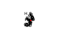 COC(=O)c1ccc2occ(-c3nn(CC(F)(F)F)c4cc(C(=O)N5CCCOCC5)ncc34)c2c1